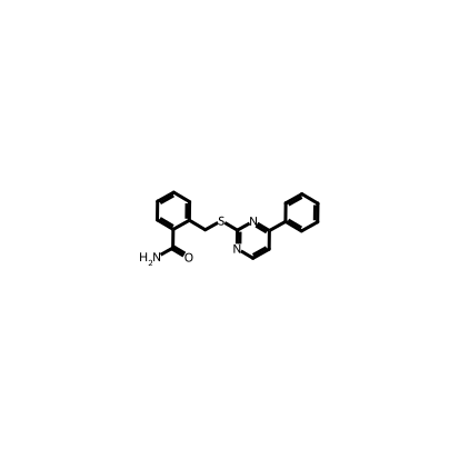 NC(=O)c1ccccc1CSc1nccc(-c2ccccc2)n1